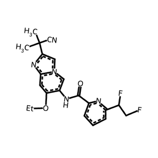 CCOc1cc2nc(C(C)(C)C#N)cn2cc1NC(=O)c1cccc(C(F)CF)n1